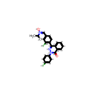 CC(C)/[N+]([O-])=C\c1ccc(-c2nn(-c3ccc(F)cc3)c(=O)c3ccccc23)c(F)c1